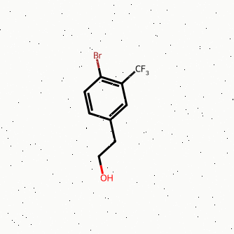 OCCc1ccc(Br)c(C(F)(F)F)c1